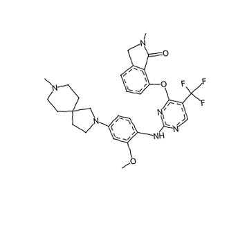 COc1cc(N2CCC3(CCN(C)CC3)C2)ccc1Nc1ncc(C(F)(F)F)c(Oc2cccc3c2C(=O)N(C)C3)n1